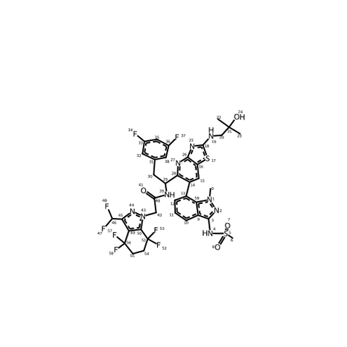 Cn1nc(NS(C)(=O)=O)c2cccc(-c3cc4sc(NCC(C)(C)O)nc4nc3C(Cc3cc(F)cc(F)c3)NC(=O)Cn3nc(C(F)F)c4c3C(F)(F)CCC4(F)F)c21